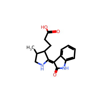 CC1CNC(=C2C(=O)Nc3ccccc32)C1CCC(=O)O